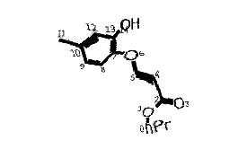 CCCOC(=O)C=COc1ccc(C)cc1O